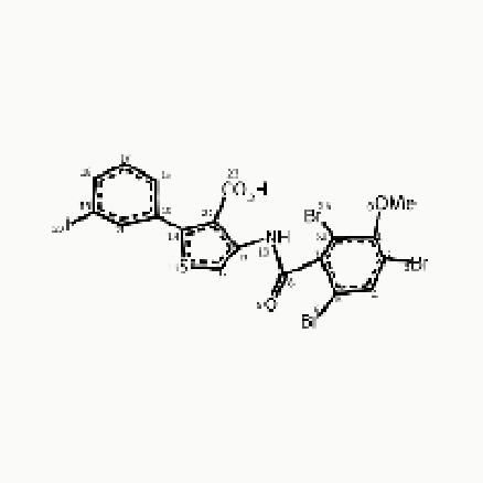 COc1c(Br)cc(Br)c(C(=O)Nc2csc(-c3cccc(I)c3)c2C(=O)O)c1Br